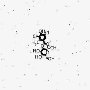 CO[C@H]1O[C@H](CO)[C@@H](O)[C@H](O)[C@H]1OC(=O)c1cc(Cl)c(O)c(Cl)c1C